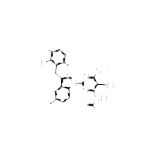 CCC(=O)Nc1nc(-n2nc(Cc3c(F)ccc(F)c3F)c3cc(Cl)ccc32)nc(N)c1C(C)C